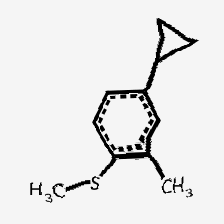 CSc1ccc(C2CC2)cc1C